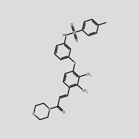 Cc1ccc(S(=O)(=O)Nc2cccc(Sc3ccc(C=CC(=O)N4CCOCC4)c(C(F)(F)F)c3C(F)(F)F)c2)cc1